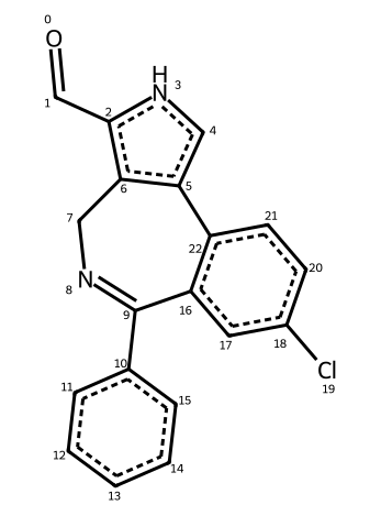 O=Cc1[nH]cc2c1CN=C(c1ccccc1)c1cc(Cl)ccc1-2